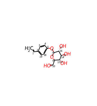 C=Cc1ccc(OC2OC(CO)[C@@H](O)C(O)[C@H]2O)cc1